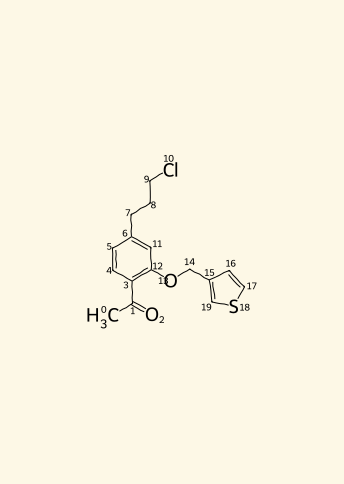 CC(=O)c1ccc(CCCCl)cc1OCc1ccsc1